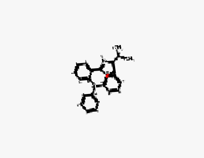 CC(C)C1COC(c2ccccc2P(c2ccccc2)c2ccccc2)=N1